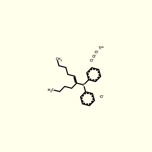 CCCCC=C(CCCC)P(c1ccccc1)c1ccccc1.[Cl-].[Cl-].[Cl-].[Cl-].[Ti+4]